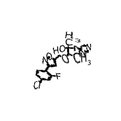 C[C@@H](OCc1cc(-c2ccc(Cl)cc2F)no1)[C@@](C)(O)n1cncn1